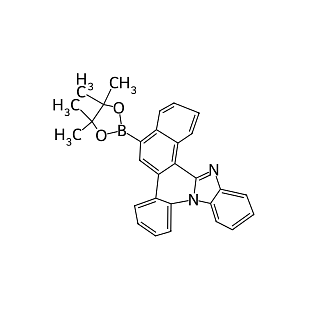 CC1(C)OB(c2cc3c4ccccc4n4c5ccccc5nc4c3c3ccccc23)OC1(C)C